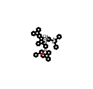 CC1(C)c2cc3c4ccccc4c4ccccc4c3cc2-c2c1c1c(c3ccccc23)c2cc(N(c3ccc(-c4ccccc4)cc3)c3cccc4c5ccccc5c5ccccc5c34)ccc2n1-c1cc(-c2nc(-c3ccccc3)cc(-c3ccccc3)n2)ccn1